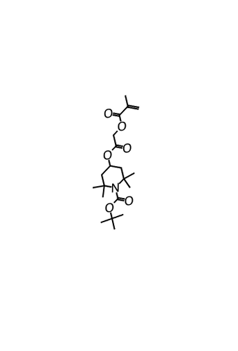 C=C(C)C(=O)OCC(=O)OC1CC(C)(C)N(C(=O)OC(C)(C)C)C(C)(C)C1